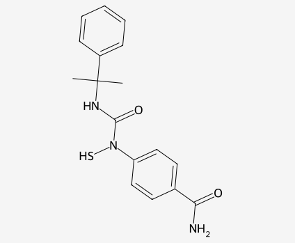 CC(C)(NC(=O)N(S)c1ccc(C(N)=O)cc1)c1ccccc1